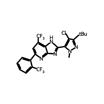 Cn1nc(C(C)(C)C)c(Cl)c1-c1nc2nc(-c3ccccc3C(F)(F)F)cc(C(F)(F)F)c2[nH]1